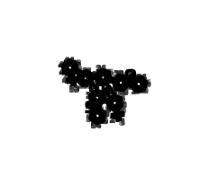 CC(C)(C)c1ccc(N2B3c4cc5c(cc4-n4c6cc7c(cc6c6ccc(c3c64)-c3cc4oc6ccccc6c4cc32)-c2ccccc2C7(C)C)sc2ccccc25)cc1